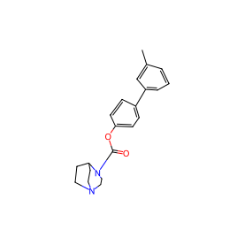 Cc1cccc(-c2ccc(OC(=O)N3CCN4CCC3CC4)cc2)c1